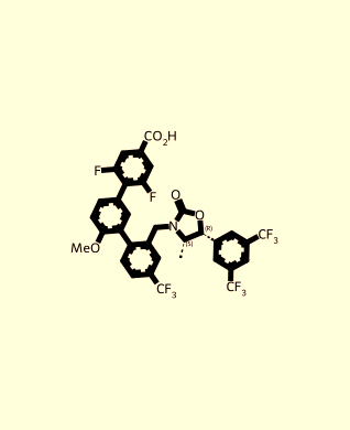 COc1ccc(-c2c(F)cc(C(=O)O)cc2F)cc1-c1ccc(C(F)(F)F)cc1CN1C(=O)O[C@H](c2cc(C(F)(F)F)cc(C(F)(F)F)c2)[C@@H]1C